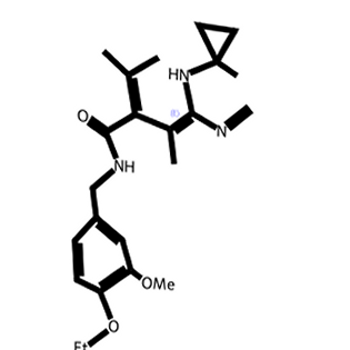 C=N/C(NC1(C)CC1)=C(\C)C(C(=O)NCc1ccc(OCC)c(OC)c1)=C(C)C